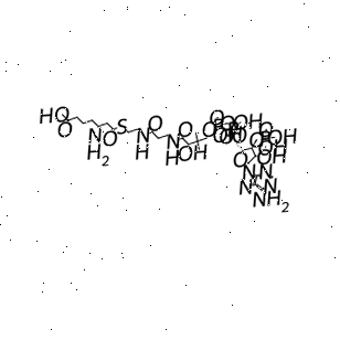 CC(C)(COP(=O)(O)OP(=O)(O)OC[C@H]1O[C@@H](n2cnc3c(N)ncnc32)[C@H](O)[C@@H]1OP(=O)(O)O)[C@@H](O)C(=O)NCCC(=O)NCCSC(=O)CC(N)CCCC(=O)O